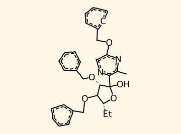 CC[C@H]1OC(O)(c2ncc(OCc3ccccc3)nc2C)[C@@H](OCc2ccccc2)C1OCc1ccccc1